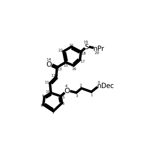 CCCCCCCCCCCCCOc1ccccc1/C=C/C(=O)c1ccc(SCCC)cc1